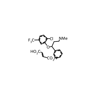 CNCCC(Oc1cc(C(F)(F)F)ccc1Cl)c1ccccc1.O=C(O)C=CC(=O)O